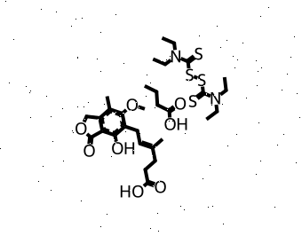 CCCC(=O)O.CCN(CC)C(=S)SSC(=S)N(CC)CC.COc1c(C)c2c(c(O)c1C/C=C(\C)CCC(=O)O)C(=O)OC2